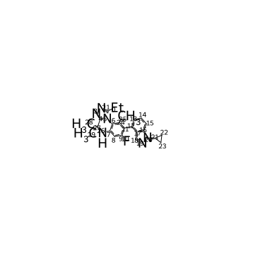 CCc1nnc2n1-c1c(cc(F)c(-c3cccc4c3cnn4C3CC3)c1C)NC2(C)C